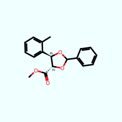 COC(=O)[C@H]1OC(c2ccccc2)O[C@@H]1c1ccccc1C